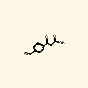 O=C(O)CC(=O)c1ccc(CS)cc1